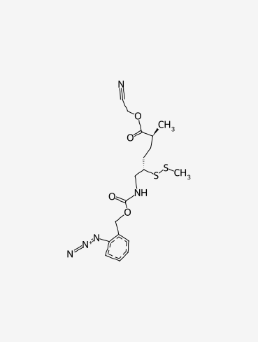 CSS[C@@H](CC[C@H](C)C(=O)OCC#N)CNC(=O)OCc1ccccc1N=[N+]=[N-]